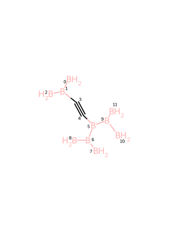 BB(B)C#CB(B(B)B)B(B)B